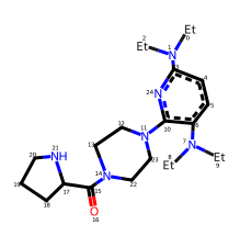 CCN(CC)c1ccc(N(CC)CC)c(N2CCN(C(=O)C3CCCN3)CC2)n1